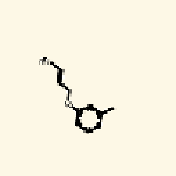 [CH2]c1cccc(OC/C=C/CCC)c1